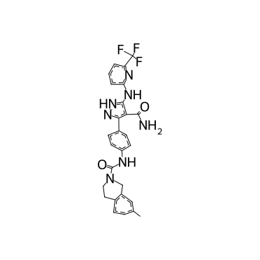 Cc1ccc2c(c1)CN(C(=O)Nc1ccc(-c3n[nH]c(Nc4cccc(C(F)(F)F)n4)c3C(N)=O)cc1)CC2